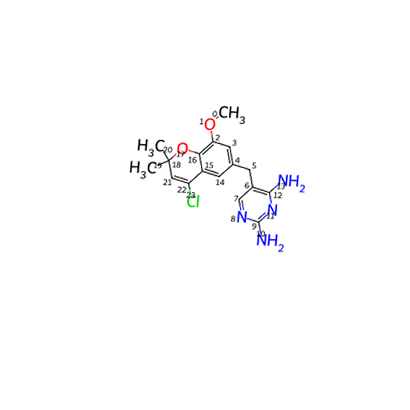 COc1cc(Cc2cnc(N)nc2N)cc2c1OC(C)(C)C=C2Cl